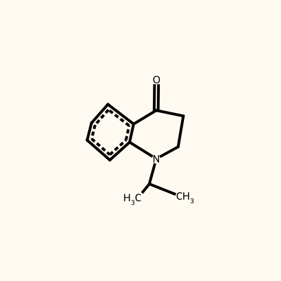 CC(C)N1CCC(=O)c2ccccc21